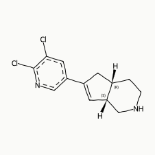 Clc1cc(C2=C[C@H]3CNCC[C@H]3C2)cnc1Cl